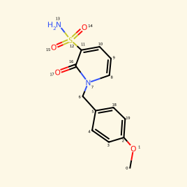 COc1ccc(Cn2cccc(S(N)(=O)=O)c2=O)cc1